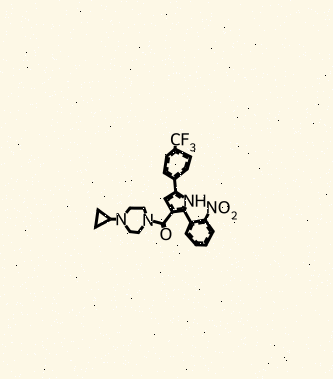 O=C(c1cc(-c2ccc(C(F)(F)F)cc2)[nH]c1-c1ccccc1[N+](=O)[O-])N1CCN(C2CC2)CC1